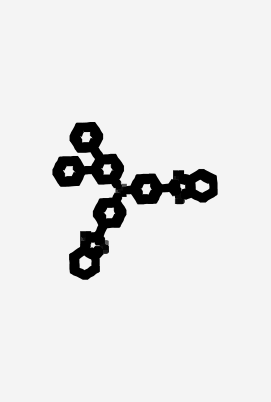 C1=Cc2nc(-c3ccc(N(c4ccc(-c5nc6c(s5)CCC=C6)cc4)c4ccc(-c5ccccc5)c(-c5ccccc5)c4)cc3)sc2CC1